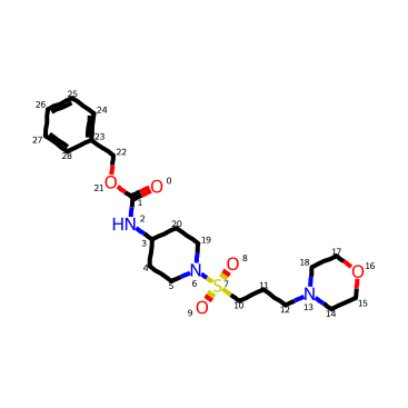 O=C(NC1CCN(S(=O)(=O)CCCN2CCOCC2)CC1)OCc1ccccc1